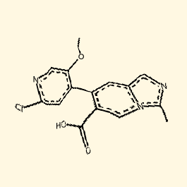 COc1cnc(Cl)cc1-c1cc2cnc(C)n2cc1C(=O)O